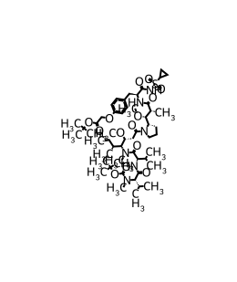 CC[C@H](C)[C@@H]([C@@H](CC(=O)N1CCC[C@H]1[C@H](OC)[C@@H](C)C(=O)N[C@@H](Cc1ccc(OCC(=O)OC(C)(C)C)cc1)C(=O)NS(=O)(=O)C1CC1)OC)N(C)C(=O)[C@@H](NC(=O)[C@H](C(C)C)N(C)C(=O)OC(C)(C)C)C(C)C